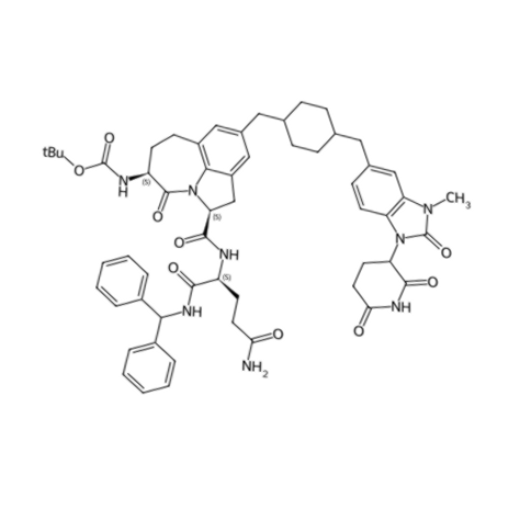 Cn1c(=O)n(C2CCC(=O)NC2=O)c2ccc(CC3CCC(Cc4cc5c6c(c4)C[C@@H](C(=O)N[C@@H](CCC(N)=O)C(=O)NC(c4ccccc4)c4ccccc4)N6C(=O)[C@@H](NC(=O)OC(C)(C)C)CC5)CC3)cc21